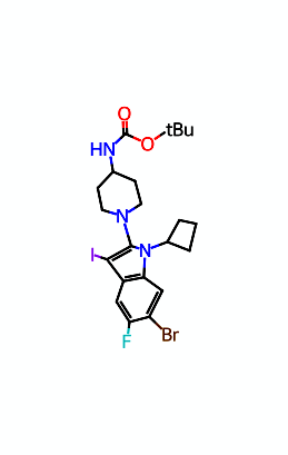 CC(C)(C)OC(=O)NC1CCN(c2c(I)c3cc(F)c(Br)cc3n2C2CCC2)CC1